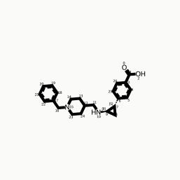 O=C(O)c1ccc([C@@H]2C[C@H]2NCC2CCN(Cc3ccccc3)CC2)cc1